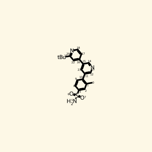 Cc1cc(S(N)(=O)=O)ccc1-c1cncc(-c2ccnc(C(C)(C)C)c2)c1